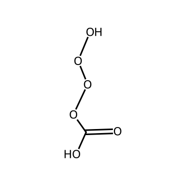 O=C(O)OOOO